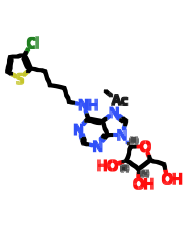 CC(C)=O.OCC1O[C@@H](n2cnc3c(NCCCCc4sccc4Cl)ncnc32)[C@H](O)[C@@H]1O